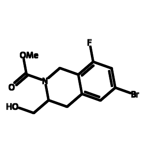 COC(=O)N1Cc2c(F)cc(Br)cc2CC1CO